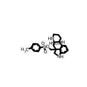 Cc1ccc(S(=O)(=O)OCC23CNc4cccc(c42)[C@H]2CCCN[C@@H]2C3)cc1